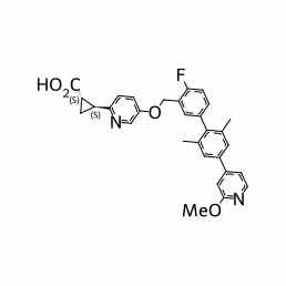 COc1cc(-c2cc(C)c(-c3ccc(F)c(COc4ccc([C@H]5C[C@@H]5C(=O)O)nc4)c3)c(C)c2)ccn1